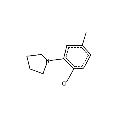 Cc1ccc(Cl)c(N2CCCC2)c1